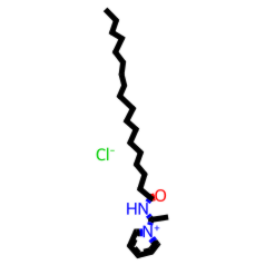 CCCCCCCCCCCCCCCCCC(=O)NC(C)[n+]1ccccc1.[Cl-]